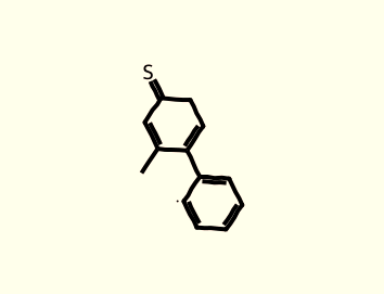 CC1=CC(=S)CC=C1c1[c]cccc1